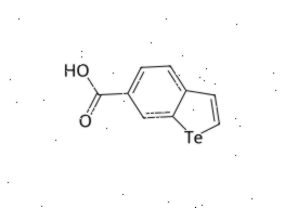 O=C(O)c1ccc2cc[te]c2c1